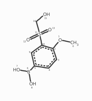 COc1ccc(B(O)O)cc1S(=O)(=O)CO